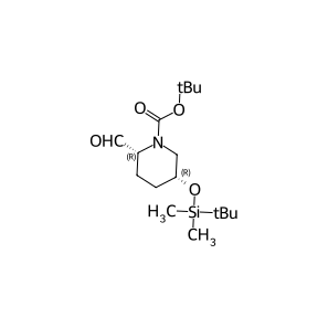 CC(C)(C)OC(=O)N1C[C@H](O[Si](C)(C)C(C)(C)C)CC[C@@H]1C=O